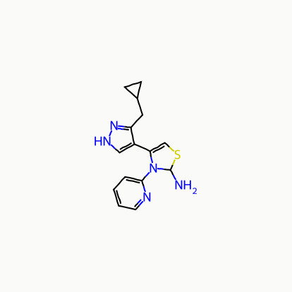 NC1SC=C(c2c[nH]nc2CC2CC2)N1c1ccccn1